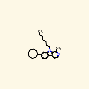 CCCCCCCn1c2cc(C3CCCCCCC3)ccc2c2ccnc(C)c21